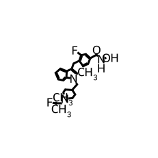 Cc1c(Cc2ccc(C(=O)NO)cc2F)c2ccccc2n1CC1CCN(CC(C)(C)F)CC1